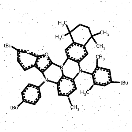 Cc1cc2c3c(c1)N(c1ccc(C(C)(C)C)cc1)c1c(oc4cc(C(C)(C)C)ccc14)B3c1cc3c(cc1N2c1c(C)cc(C(C)(C)C)cc1C)C(C)(C)CCC3(C)C